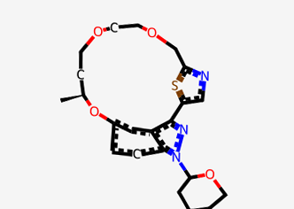 C[C@H]1CCOCCOCc2ncc(s2)-c2nn(C3CCCCO3)c3ccc(cc23)O1